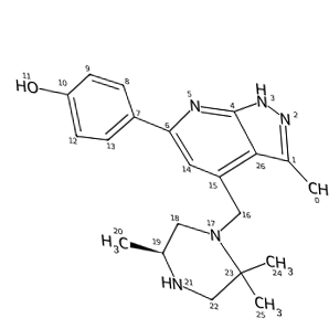 Cc1n[nH]c2nc(-c3ccc(O)cc3)cc(CN3C[C@H](C)NCC3(C)C)c12